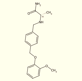 COc1ccccc1OCc1ccc(CN[C@@H](C)C(N)=O)cc1